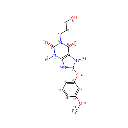 CCN1c2c(n(CC)c(=O)n(CCCO)c2=O)NC1Oc1cccc(OC(F)(F)F)c1